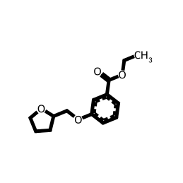 CCOC(=O)c1cccc(OCC2CCCO2)c1